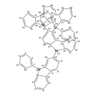 c1ccc(-n2c3ccccc3c3ccc(-n4c5ccccc5c5c([Si](c6ccccc6)(c6ccccc6)c6ccccc6)c(-n6c7ccccc7c7ccccc76)ccc54)cc32)cc1